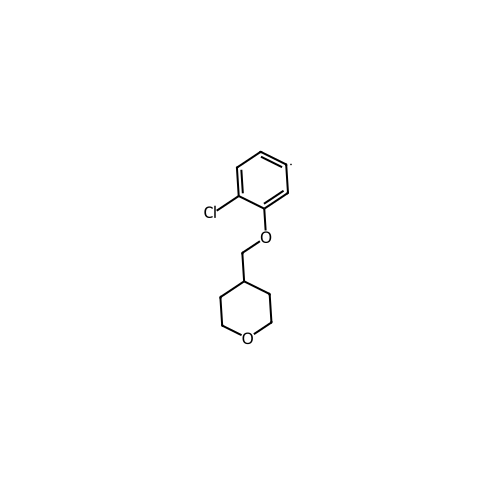 Clc1cc[c]cc1OCC1CCOCC1